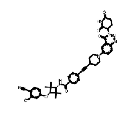 CC1(C)[C@H](NC(=O)c2ccc(C#CC3CCN(c4ccc5nnn(C6CCC(=O)NC6=O)c(=O)c5c4)CC3)cc2)C(C)(C)[C@H]1Oc1ccc(C#N)c(Cl)c1